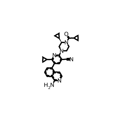 N#Cc1cc(-c2cccc3c(N)nccc23)c(C2CC2)nc1N1CCN(C(=O)C2CC2)[C@H](C2CC2)C1